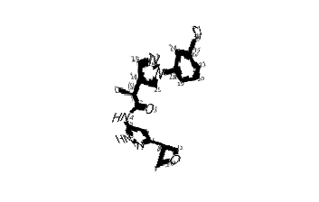 C[C@H](C(=O)Nc1cc(C2COC2)n[nH]1)c1cnn(-c2cccc(Cl)c2)c1